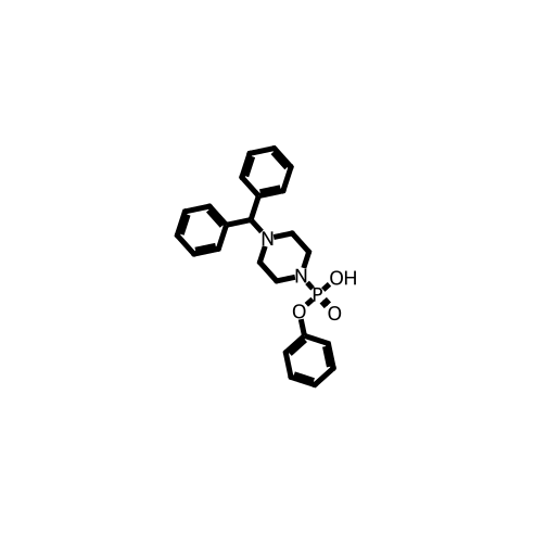 O=P(O)(Oc1ccccc1)N1CCN(C(c2ccccc2)c2ccccc2)CC1